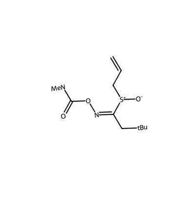 C=CC[S+]([O-])C(CC(C)(C)C)=NOC(=O)NC